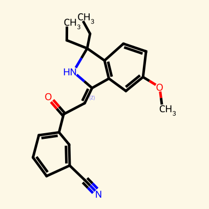 CCC1(CC)N/C(=C\C(=O)c2cccc(C#N)c2)c2cc(OC)ccc21